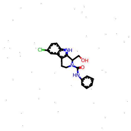 O=C(Nc1ccccc1)N1CCc2c([nH]c3ccc(Cl)cc23)C1CO